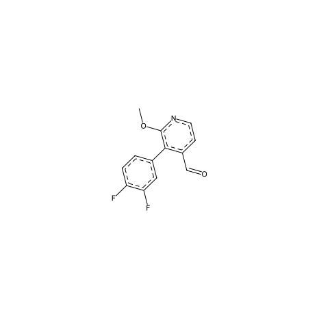 COc1nccc(C=O)c1-c1ccc(F)c(F)c1